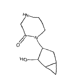 O=C1CNCCN1C1CC2CC2C1O